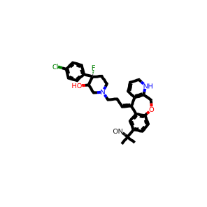 CC(C)(N=O)c1ccc2c(c1)/C(=C/CCN1CC[C@](F)(c3ccc(Cl)cc3)C(O)C1)C1=C(CO2)NCC=C1